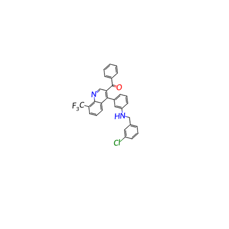 O=C(c1ccccc1)c1cnc2c(C(F)(F)F)cccc2c1-c1cccc(NCc2cccc(Cl)c2)c1